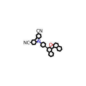 N#Cc1ccc2c(c1)c1cc(C#N)ccc1n2-c1ccc(-c2cc3ccccc3c3c2oc2ccc4ccccc4c23)cc1